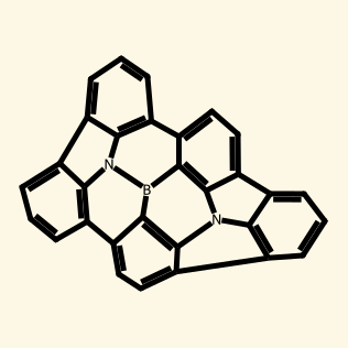 c1cc2c3c(c1)c1cccc4c1n3B1c3c-2ccc2c5cccc6c7ccc-4c1c7n(c32)c56